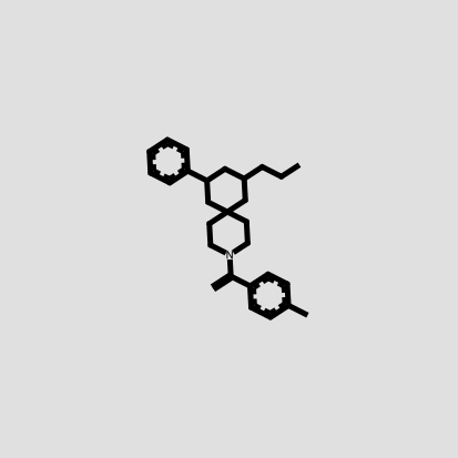 C=C(c1ccc(C)cc1)N1CCC2(CC1)CC(CCC)CC(c1ccccc1)C2